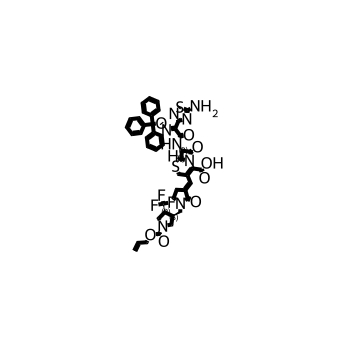 C=CCOC(=O)N1C[C@H](CN2CCC(=CC3=C(C(=O)O)N4C(=O)[C@@H](NC(=O)C(=NOC(c5ccccc5)(c5ccccc5)c5ccccc5)c5nsc(N)n5)[C@H]4SC3)C2=O)[C@@H](C(F)(F)F)C1